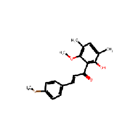 COc1c(C)cc(C)c(O)c1C(=O)/C=C/c1ccc(SC)cc1